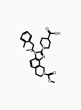 COC(=O)N1CCc2ccc3c(nc(N4CCC(C(=O)O)CC4)n3[C@@H](C)Cc3ccccc3C)c2C1